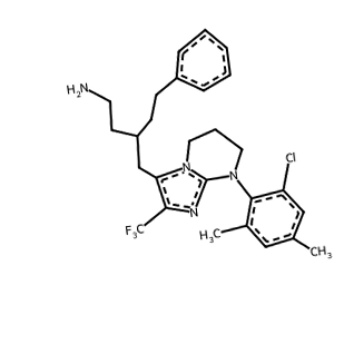 Cc1cc(C)c(N2CCCn3c2nc(C(F)(F)F)c3CC(CCN)CCc2ccccc2)c(Cl)c1